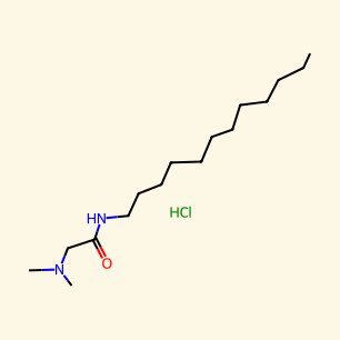 CCCCCCCCCCCCNC(=O)CN(C)C.Cl